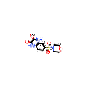 O=c1[nH]c2ccc(S(=O)(=O)N3CCOCC3)cc2[nH]c1=O